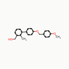 COc1ccc(COc2ccc(-c3cccc(CO)c3C)cc2)cc1